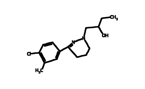 CCC(O)CN1CCCC(c2ccc(Cl)c(C)c2)=N1